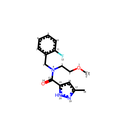 CCOCCN(Cc1ccccc1F)C(=O)c1cc(C)n[nH]1